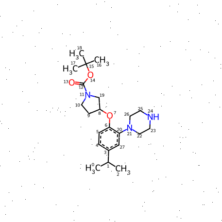 CC(C)c1ccc(OC2CCN(C(=O)OC(C)(C)C)C2)c(N2CCNCC2)c1